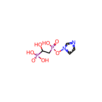 O=P(O)(CC(O)P(=O)(O)O)On1ccnc1